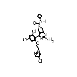 Nc1nc2c(c(-c3c(Cl)cc(Cl)cc3OCCn3cc(Cl)cn3)n1)CN(C(=O)NC13CC(C1)C3)C2